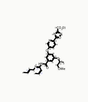 C/C=C\C(=N/C/C=C/C)NC(=O)c1cc(Oc2ccc(-c3nc(C(=O)OCC)no3)nc2)cc(O[C@@H](C)COC)c1